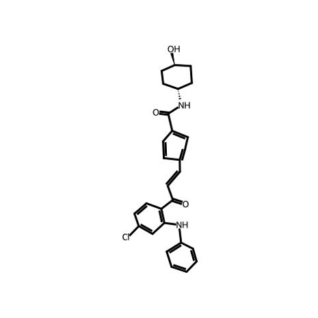 O=C(N[C@H]1CC[C@H](O)CC1)c1ccc(/C=C/C(=O)c2ccc(Cl)cc2Nc2ccccc2)cc1